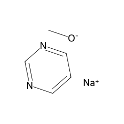 C[O-].[Na+].c1cncnc1